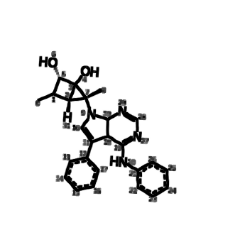 CC1[C@@H]2C(O)([C@H]1O)[C@]2(C)N1C=C(c2ccccc2)C2C(Nc3ccccc3)=NC=NC21